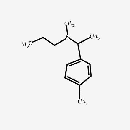 CCCN(C)C(C)c1ccc(C)cc1